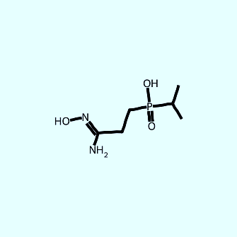 CC(C)P(=O)(O)CCC(N)=NO